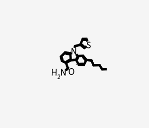 CCCCCc1c[c]c2c3c(C(N)=O)cccc3n(Cc3ccsc3)c2c1